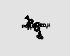 CC(C)[Si](Oc1cc(C2CC2)ccc1-n1nc2c3c1CCN(C(=O)O)C3CN(C/C=C/S(C)(=O)=O)CC2)(C(C)C)C(C)C